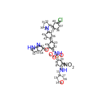 O=C(NS(=O)(=O)c1ccc(NCC2CCOCC2)c([N+](=O)[O-])c1)c1ccc(-c2ccc(N3CCCC3c3cccc(Cl)c3)cc2)cc1Oc1cnc2[nH]ccc2c1